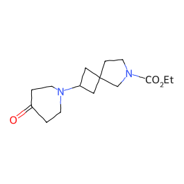 CCOC(=O)N1CCC2(CC(N3CCC(=O)CC3)C2)C1